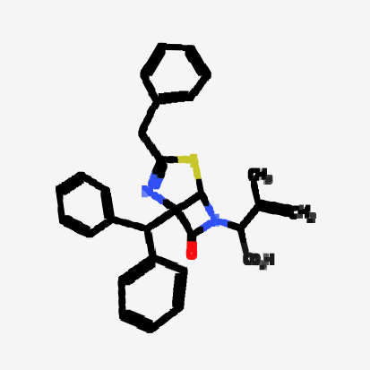 C=C(C)C(C(=O)O)N1C(=O)C2(C(c3ccccc3)c3ccccc3)N=C(Cc3ccccc3)SC12